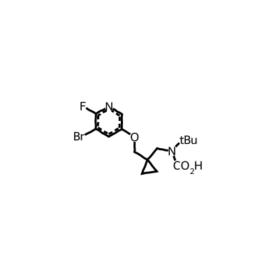 CC(C)(C)N(CC1(COc2cnc(F)c(Br)c2)CC1)C(=O)O